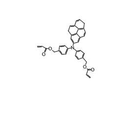 C=CC(=O)OCc1ccc(N(c2ccc(COC(=O)C=C)cc2)c2cc3c4c5c(ccc4c2)CC=CC5=CC3)cc1